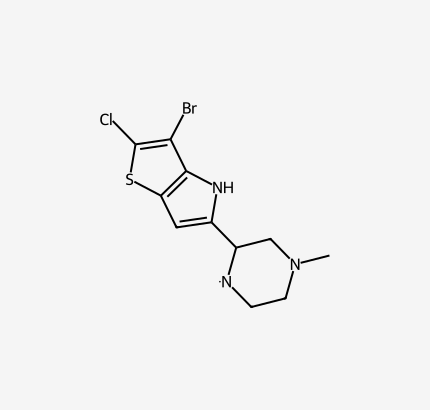 CN1CC[N]C(c2cc3sc(Cl)c(Br)c3[nH]2)C1